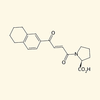 O=C(/C=C/C(=O)N1CCC[C@H]1C(=O)O)c1ccc2c(c1)CCCC2